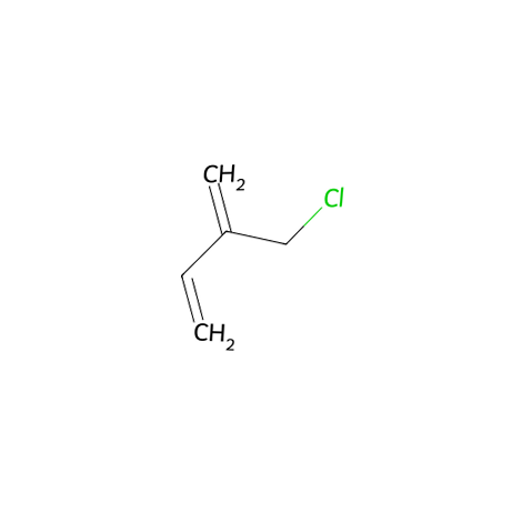 C=CC(=C)CCl